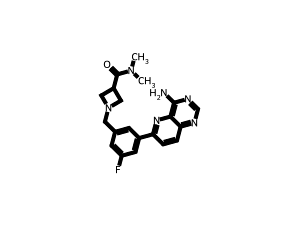 CN(C)C(=O)C1CN(Cc2cc(F)cc(-c3ccc4ncnc(N)c4n3)c2)C1